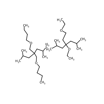 CCCCOCC(COCCCC)(CC(C)C)CC(C)C.CCOCCC(CC(C)C)(CC(C)C)OCC